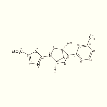 CCOC(=O)c1cnc(N2C[C@@H]3C[C@H]2CN3c2cccc(C(F)(F)F)c2)s1